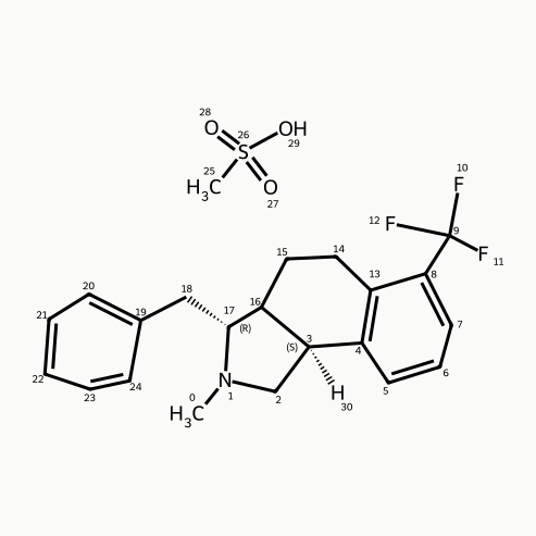 CN1C[C@@H]2c3cccc(C(F)(F)F)c3CCC2[C@H]1Cc1ccccc1.CS(=O)(=O)O